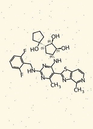 Cc1nc(NCc2c(F)cccc2F)nc(N[C@@H]2C[C@H](C3(O)CCCC3)[C@@H](O)[C@H]2O)c1-c1nc2c(C)nccc2s1